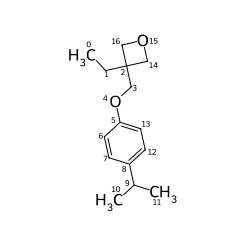 CCC1(COc2ccc(C(C)C)cc2)COC1